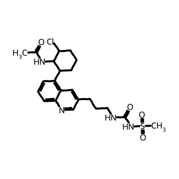 CC(=O)NC1C(Cl)CCCC1c1cccc2ncc(CCCNC(=O)NS(C)(=O)=O)cc12